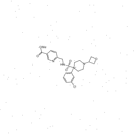 COC(=O)c1ccc(CNS(=O)(=O)[N+]2(c3cccc(Cl)c3)CCN(C3COC3)CC2)nc1